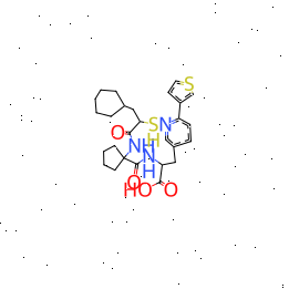 O=C(NC1(C(=O)NC(Cc2ccc(-c3ccsc3)nc2)C(=O)O)CCCC1)C(S)CC1CCCCC1